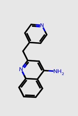 Nc1cc(Cc2ccncc2)nc2ccccc12